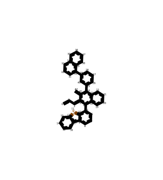 C=C/C=c1/c(-c2cccc3c2sc2ccccc23)c2ccccc2c(-c2cccc(-c3cccc4ccccc34)c2)c1=C